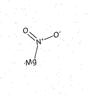 O=[N+]([O-])[Mg]